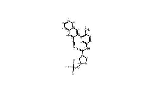 Cc1ccc(NC(=O)N2CC[C@@H](OC(F)(F)F)C2)cc1-c1cc2cncnc2nc1C#N